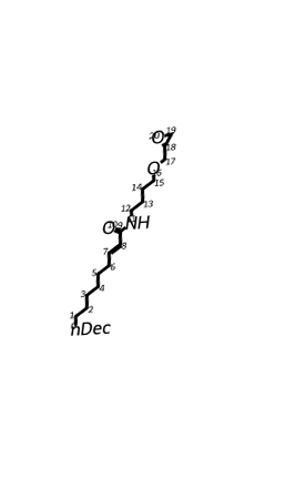 CCCCCCCCCCCCCCCCC=CC(=O)NCCCCOCC1CO1